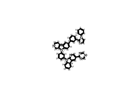 c1ccc(-n2ccnc2-c2cccc(-c3ccc4c(c3)c3ccncc3n4-c3cccc(-n4c5ccccc5c5cc(-c6ncncn6)cnc54)c3)c2)cc1